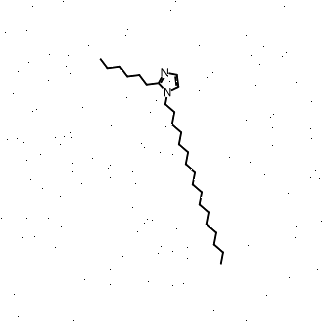 CCCCCCCCCCCCCCCCCn1ccnc1CCCCCC